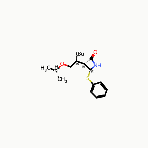 C[SiH](C)OC[C@H]([C@@H]1C(=O)N[C@H]1Sc1ccccc1)C(C)(C)C